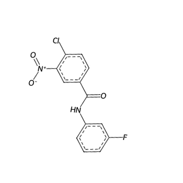 O=C(Nc1cccc(F)c1)c1ccc(Cl)c([N+](=O)[O-])c1